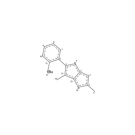 Cc1cc2sc(-c3ccccc3C(C)(C)C)c(C)c2s1